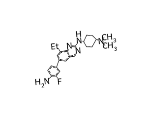 CCc1cc(-c2ccc(N)c(F)c2)cc2cnc(N[C@H]3CC[C@H](N(C)C)CC3)nc12